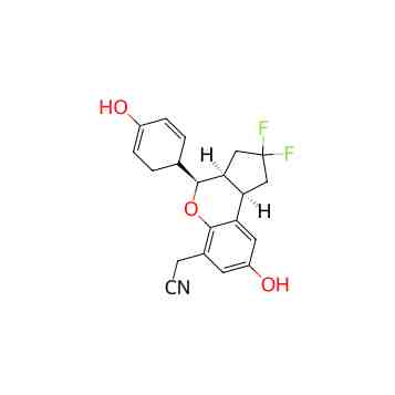 N#CCc1cc(O)cc2c1O[C@@H](C1C=CC(O)=CC1)[C@H]1CC(F)(F)C[C@@H]21